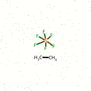 CC.FS(F)(F)(F)(F)F